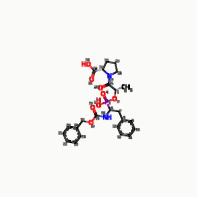 C[C@H](OP(=O)(O)C(Cc1ccccc1)NC(=O)OCc1ccccc1)C(=O)N1CCC[C@H]1C(=O)O